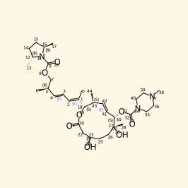 C/C(=C\C=C\[C@@H](C)COC(=O)N1[C@H](C)CC[C@H]1C)[C@H]1OC(=O)C[C@H](O)CC[C@@](C)(O)[C@@H](OC(=O)N2CCN(C)CC2)/C=C/[C@@H]1C